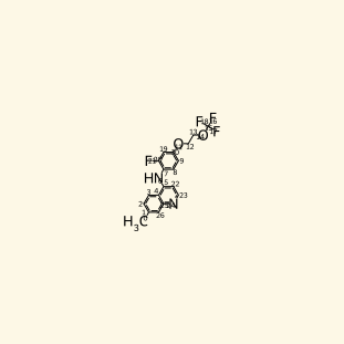 Cc1ccc2c(Nc3ccc(OCCOC(F)(F)F)cc3F)ccnc2c1